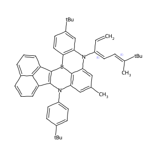 C=C/C(=C\C=C(/C)C(C)(C)C)N1c2cc(C(C)(C)C)ccc2B2C3=C(c4cccc5cccc3c45)N(c3ccc(C(C)(C)C)cc3)c3cc(C)cc1c32